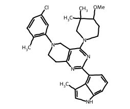 COC1CCN(c2nc(-c3cccc4[nH]cc(C)c34)nc3c2CN(c2cc(Cl)ccc2C)CC3)CC1(C)C